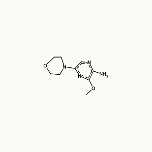 COc1nc(N2CCOCC2)cnc1N